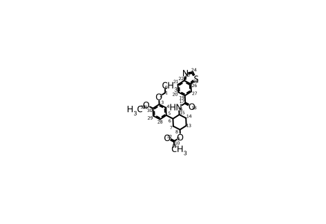 CCOc1cc(C2CC(OC(C)=O)CCC2NC(=O)c2ccc3ncsc3c2)ccc1OC